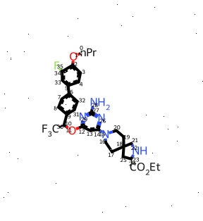 CCCOc1ccc(-c2ccc([C@@H](Oc3cc(N4CCC5(CC4)CN[C@H](C(=O)OCC)C5)nc(N)n3)C(F)(F)F)cc2)cc1F